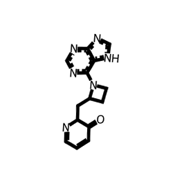 O=C1C=CC=NC1CC1CCN1c1ncnc2nc[nH]c12